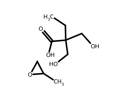 CC1CO1.CCC(CO)(CO)C(=O)O